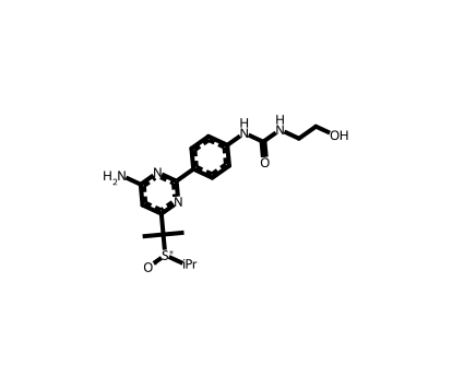 CC(C)[S+]([O-])C(C)(C)c1cc(N)nc(-c2ccc(NC(=O)NCCO)cc2)n1